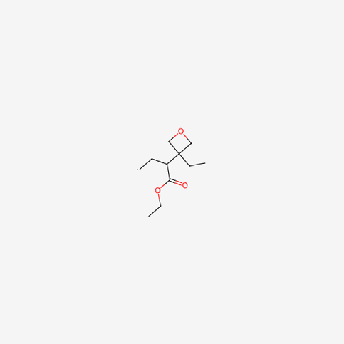 [CH2]CC(C(=O)OCC)C1(CC)COC1